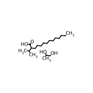 CC(O)CO.CCCCCCCCCCCCC(C(=O)O)C(C)C